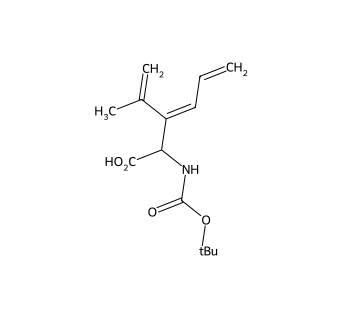 C=C/C=C(\C(=C)C)C(NC(=O)OC(C)(C)C)C(=O)O